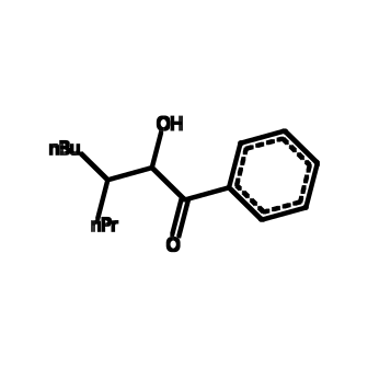 CCCCC(CCC)C(O)C(=O)c1ccccc1